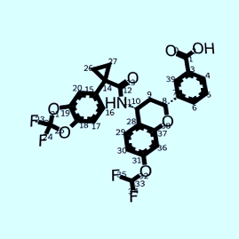 O=C(O)c1cccc([C@H]2C[C@@H](NC(=O)C3(c4ccc5c(c4)OC(F)(F)O5)CC3)c3ccc(OC(F)F)cc3O2)c1